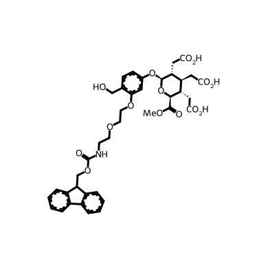 COC(=O)[C@H]1O[C@@H](Oc2ccc(CO)c(OCCOCCNC(=O)OCC3c4ccccc4-c4ccccc43)c2)[C@H](CC(=O)O)[C@@H](CC(=O)O)[C@@H]1CC(=O)O